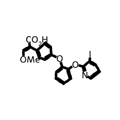 CO/C=C(/C(=O)O)c1ccc(Oc2ccccc2Oc2ncccc2I)cc1